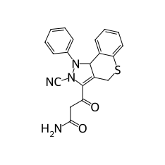 N#CN1C(C(=O)CC(N)=O)=C2CSc3ccccc3C2N1c1ccccc1